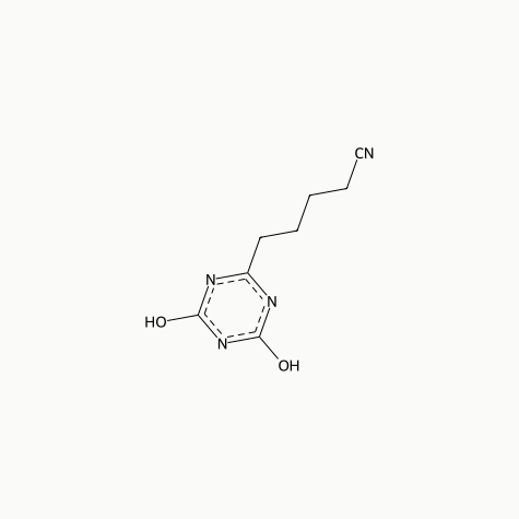 N#CCCCCc1nc(O)nc(O)n1